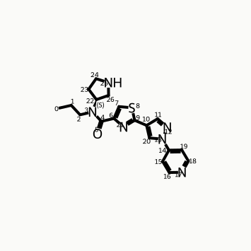 CCCN(C(=O)c1csc(-c2cnn(-c3ccncc3)c2)n1)[C@H]1CCNC1